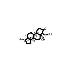 CC(=O)[C@H]1CC[C@H]2[C@@H]3CCC4(OO)C(OO)C(=O)CC[C@]4(C)[C@H]3CC[C@]12C